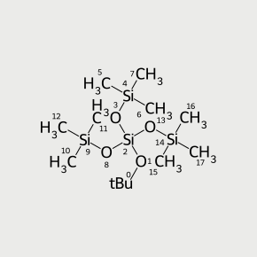 CC(C)(C)O[Si](O[Si](C)(C)C)(O[Si](C)(C)C)O[Si](C)(C)C